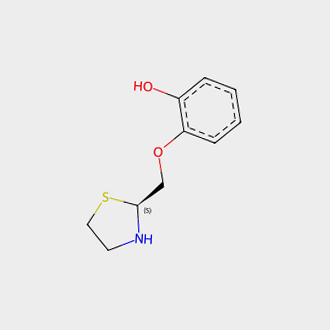 Oc1ccccc1OC[C@H]1NCCS1